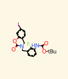 CC(C)(C)OC(=O)Nc1cccc(CN2Cc3ccc(I)cc3OC2=O)c1F